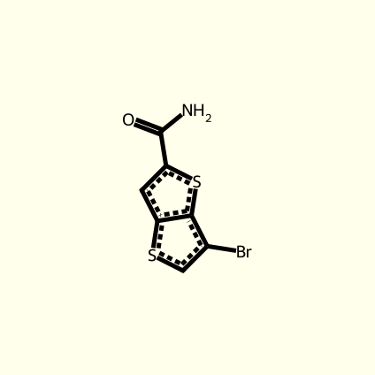 NC(=O)c1cc2scc(Br)c2s1